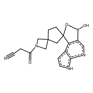 N#CCC(=O)N1CC2(CCC3(C2)OB(O)c2cnc4[nH]ccc4c23)C1